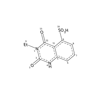 CCn1c(=O)[nH]c2cccc(S(=O)(=O)O)c2c1=O